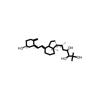 C=C1CC[C@H](O)C/C1=C/C=C1CCC[C@@]2(C)C1CC[C@@H]2[C@H](C)CC(O)C(O)C(C)(C)O